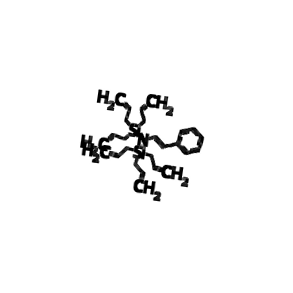 C=CC[Si](CC=C)(CC=C)N(C=Cc1ccccc1)[Si](CC=C)(CC=C)CC=C